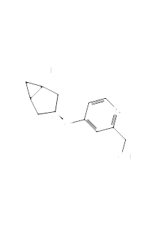 OCc1cc(O[C@H]2CC3C[C@H]3C2)ccn1